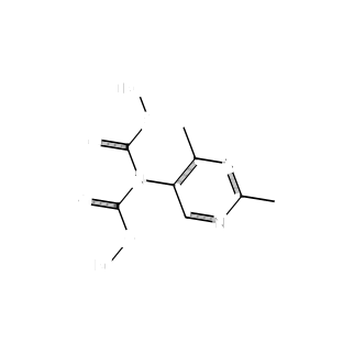 Cc1ncc(N(C(=O)OC(C)(C)C)C(=O)OC(C)(C)C)c(C)n1